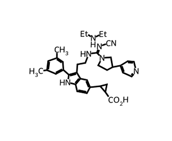 CCNCC.Cc1cc(C)cc(-c2[nH]c3ccc(C4CC4C(=O)O)cc3c2CCNC(=NC#N)N2CCC(c3ccncc3)C2)c1